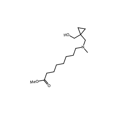 COC(=O)CCCCCCCN(C)CC1(CO)CC1